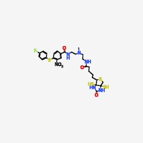 CN(CCNC(=O)CCCCC1SCC2(S)NC(=O)NC12S)CCNC(=O)c1ccc(Sc2ccc(F)cc2)c([N+](=O)[O-])c1